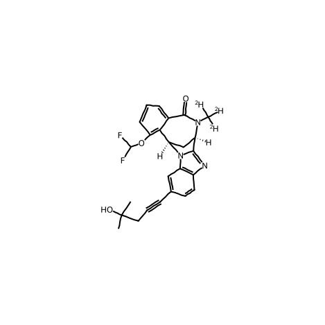 [2H]C([2H])([2H])N1C(=O)c2cccc(OC(F)F)c2[C@H]2C[C@@H]1c1nc3ccc(C#CCC(C)(C)O)cc3n12